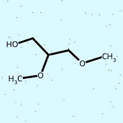 CO[CH]C(CO)OC